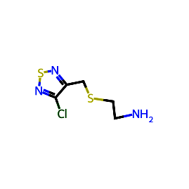 NCCSCc1nsnc1Cl